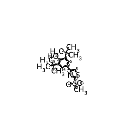 CC(C)(C)c1cc(-c2csc(S(C)(=O)=O)n2)cc(C(C)(C)C)c1O